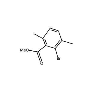 COC(=O)c1c(I)ccc(C)c1Br